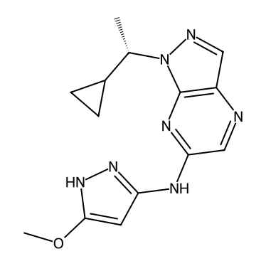 COc1cc(Nc2cnc3cnn([C@@H](C)C4CC4)c3n2)n[nH]1